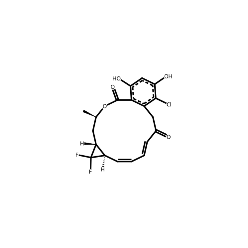 C[C@@H]1C[C@@H]2[C@@H](/C=C\C=C\C(=O)Cc3c(Cl)c(O)cc(O)c3C(=O)O1)C2(F)F